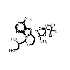 CCC(C)(OP(=O)(O)C(O)(CC)CC)[C@@H]1CO[C@H]([C@H](O)CO)n2c1nc1c(N)ncnc12